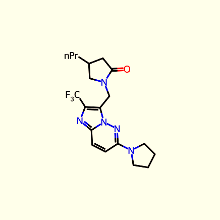 CCCC1CC(=O)N(Cc2c(C(F)(F)F)nc3ccc(N4CCCC4)nn23)C1